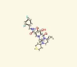 C[C@H]1CCN(C2CCSCC2)[C@@H]2Cn3cc(C(=O)NCc4ccc(F)cc4F)c(=O)c(O)c3C(=O)N12